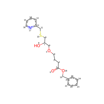 O=C(CCCOCC(O)CSCc1ccccn1)OCc1ccccc1